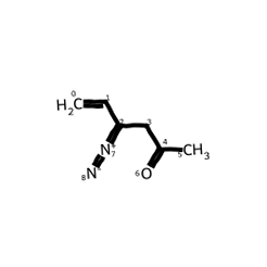 C=CC(CC(C)=O)=[N+]=[N-]